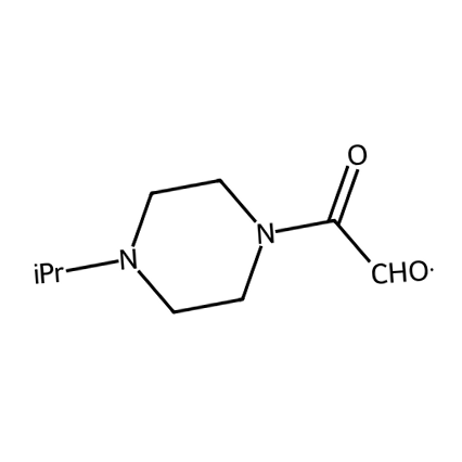 CC(C)N1CCN(C(=O)[C]=O)CC1